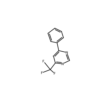 FC(F)(F)c1[c]c(-c2ccccc2)ncn1